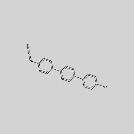 CCc1ccc(-c2ccc(-c3ccc(N=C=S)cc3)nc2)cc1